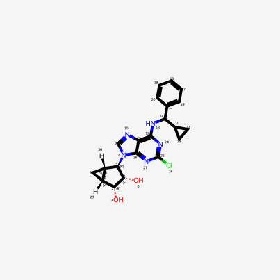 O[C@@H]1[C@H](O)[C@@H]2C[C@@H]2[C@H]1n1cnc2c(NC(c3ccccc3)C3CC3)nc(Cl)nc21